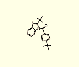 CC(C)(C)c1ccc(C(=O)n2c(C(C)(C)C)nc3ccccc32)cc1